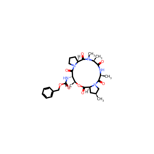 C[C@H]1C[C@H]2C(=O)O[C@@H](C)[C@H](NC(=O)OCc3ccccc3)C(=O)N3CCC[C@H]3C(=O)N(C)[C@@H](C)C(=O)N[C@@H](C)C(=O)N2C1